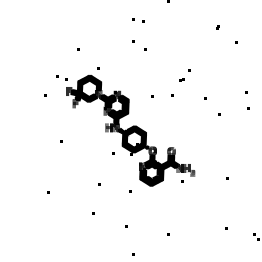 NC(=O)c1cccnc1O[C@H]1CC[C@H](Nc2ccnc(N3CCCC(F)(F)C3)n2)CC1